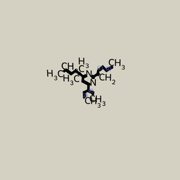 C=C(/C=C\C=C/C)c1nc(C(/C=C\C)=C/C)cc(C(C)(C)CC=C(C)C)n1